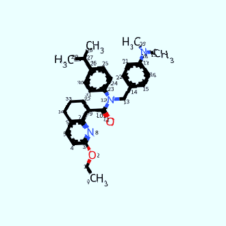 CCOc1ccc2c(n1)C(C(=O)N(Cc1ccc(N(C)C)cc1)c1ccc(C(C)C)cc1)CCC2